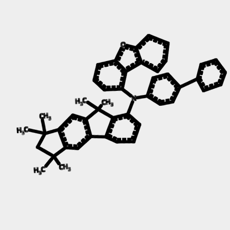 CC1(C)CC(C)(C)c2cc3c(cc21)-c1cccc(N(c2ccc(-c4ccccc4)cc2)c2cccc4oc5ccccc5c24)c1C3(C)C